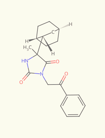 CC1([C@H]2C[C@H]3CC[C@H]2CC3)NC(=O)N(CC(=O)c2ccccc2)C1=O